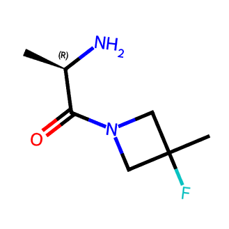 C[C@@H](N)C(=O)N1CC(C)(F)C1